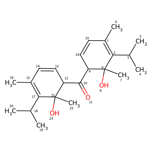 CC1=C(C(C)C)C(C)(O)C(C(=O)C2C=CC(C)=C(C(C)C)C2(C)O)C=C1